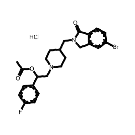 CC(=O)OC(CN1CCC(CN2Cc3cc(Br)ccc3C2=O)CC1)c1ccc(F)cc1.Cl